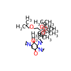 C=C(C)COCCC[Si](O[Si](C)(C)C)(O[Si](C)(C)C)O[Si](C)(C)C.O=C1C=C(N2CC2)C(=O)C(N2CC2)=C1N1CC1